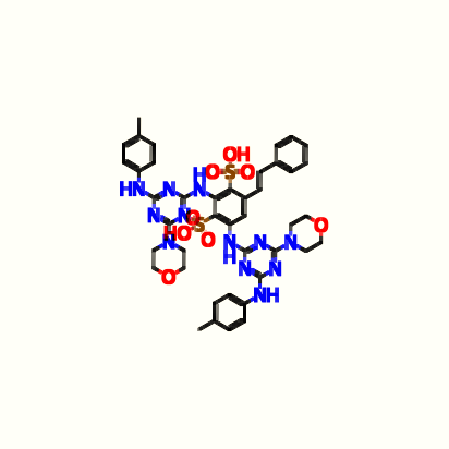 Cc1ccc(Nc2nc(Nc3cc(C=Cc4ccccc4)c(S(=O)(=O)O)c(Nc4nc(Nc5ccc(C)cc5)nc(N5CCOCC5)n4)c3S(=O)(=O)O)nc(N3CCOCC3)n2)cc1